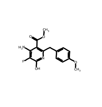 COC(=O)c1c(Cc2ccc(OC)cc2)nc(O)c(F)c1N